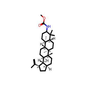 C=C(C)[C@@H]1CC[C@@H]2CC[C@]3(C)[C@H](CC[C@@H]4[C@@]5(C)CCC(NC(=O)OC)C(C)(C)[C@@H]5CC[C@]43C)[C@H]21